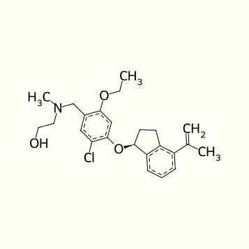 C=C(C)c1cccc2c1CC[C@@H]2Oc1cc(OCC)c(CN(C)CCO)cc1Cl